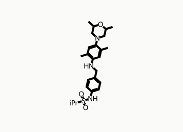 Cc1cc(N2CC(C)OC(C)C2)c(C)cc1NCc1ccc(NS(=O)(=O)C(C)C)cc1